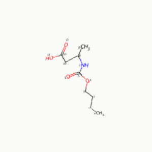 CCCCOC(=O)NC(C)CC(=O)O